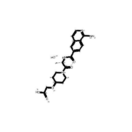 C[C@H](NC(=O)c1ccc2c(N)nccc2c1)C(=O)N1CCC(OCC(=O)O)CC1.Cl